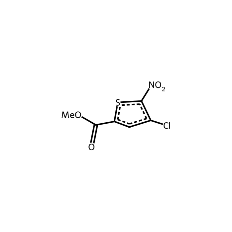 COC(=O)c1cc(Cl)c([N+](=O)[O-])s1